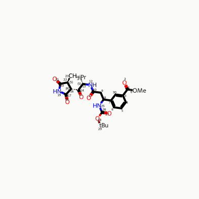 COC(=O)c1cccc(C(CC(=O)N[C@H](C(=O)[C@@H]2C(=O)NC(=O)[C@H]2C)C(C)C)NC(=O)OC(C)(C)C)c1